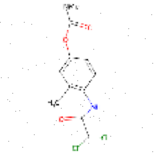 CNC(=O)Oc1ccc(NC(=O)C(Cl)Cl)c(C)c1